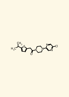 CC(C)c1ccc(CC(=O)N2CCN(c3cnc(Cl)cn3)CC2)s1